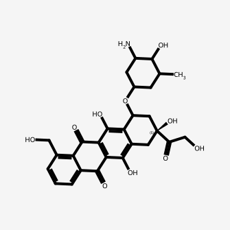 CC1CC(OC2C[C@](O)(C(=O)CO)Cc3c(O)c4c(c(O)c32)C(=O)c2c(CO)cccc2C4=O)CC(N)C1O